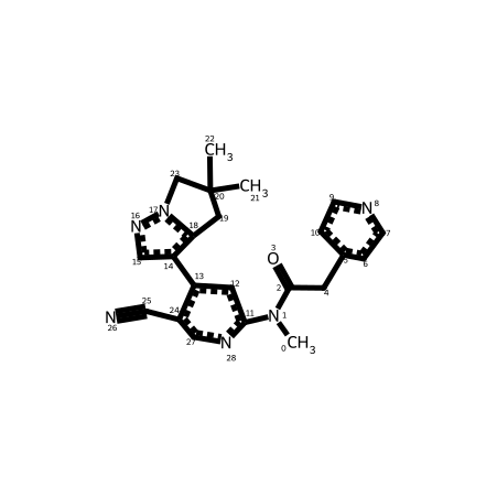 CN(C(=O)Cc1ccncc1)c1cc(-c2cnn3c2CC(C)(C)C3)c(C#N)cn1